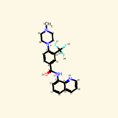 CN1CCN(c2ccc(C(=O)Nc3cccc4cccnc34)cc2C(F)(F)F)CC1